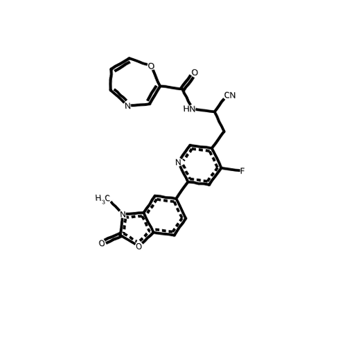 Cn1c(=O)oc2ccc(-c3cc(F)c(CC(C#N)NC(=O)C4=CN=CC=CO4)cn3)cc21